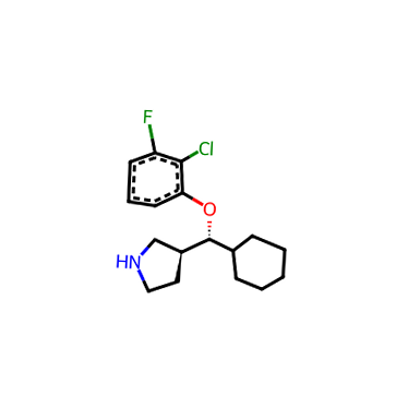 Fc1cccc(O[C@H](C2CCCCC2)[C@H]2CCNC2)c1Cl